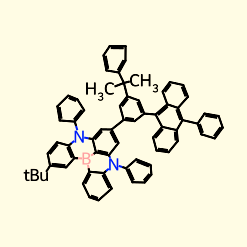 CC(C)(C)c1ccc2c(c1)B1c3ccccc3N(c3ccccc3)c3cc(-c4cc(-c5c6ccccc6c(-c6ccccc6)c6ccccc56)cc(C(C)(C)c5ccccc5)c4)cc(c31)N2c1ccccc1